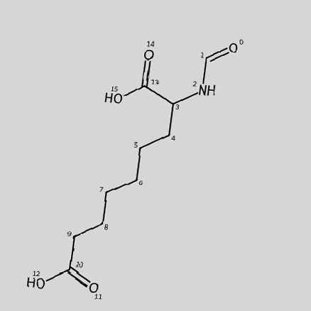 O=CNC(CCCCCCC(=O)O)C(=O)O